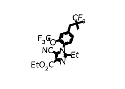 CCOC(=O)c1nc(CC)n(-c2ccc(CC(C)(C)C(F)(F)F)cc2OC(F)(F)F)c1C#N